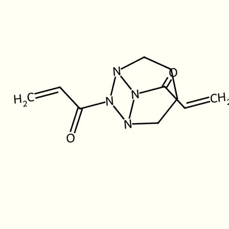 C=CC(=O)N1N2CCCCN1N2C(=O)C=C